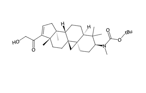 CN(C(=O)OC(C)(C)C)[C@H]1CC[C@]23C[C@]24CC[C@]2(C)C(C(=O)CO)=CC[C@@]2(C)[C@@H]4CC[C@H]3C1(C)C